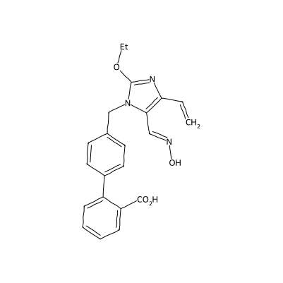 C=Cc1nc(OCC)n(Cc2ccc(-c3ccccc3C(=O)O)cc2)c1C=NO